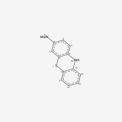 CNc1ccc2c(c1)Sc1ccccc1N2